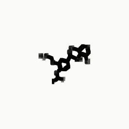 CCOc1cc(C(=O)Nc2c(Cl)cncc2Cl)ccc1OC(F)F